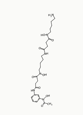 CC(=O)N(O)c1cccc(NC(=O)CCC(=O)N(O)CCCCCNC(=O)CCC(=O)N(O)CCCCCN)c1